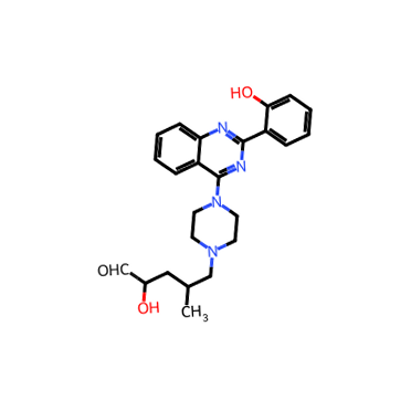 CC(CC(O)C=O)CN1CCN(c2nc(-c3ccccc3O)nc3ccccc23)CC1